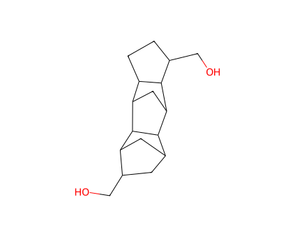 OCC1CC2CC1C1C3CC(C4C(CO)CCC34)C21